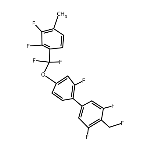 Cc1ccc(C(F)(F)Oc2ccc(-c3cc(F)c(CF)c(F)c3)c(F)c2)c(F)c1F